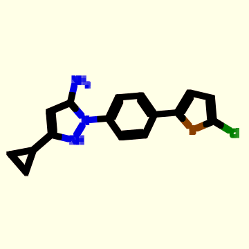 NC1C=C(C2CC2)NN1c1ccc(-c2ccc(Cl)s2)cc1